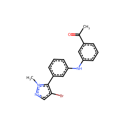 CC(=O)c1cccc(Nc2cccc(-c3c(Br)cnn3C)c2)c1